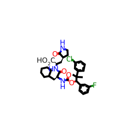 CC(C)(c1cccc(Cl)c1)C(OC(=O)N[C@@H](CC1CCCCC1)C(=O)N[C@@H](C[C@@H]1CCNC1=O)C(=O)O)c1cccc(F)c1